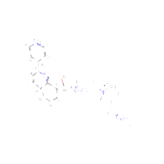 CN(CCCN)CCCNC(=O)c1cccc2ccc(-c3ccncc3)nc12